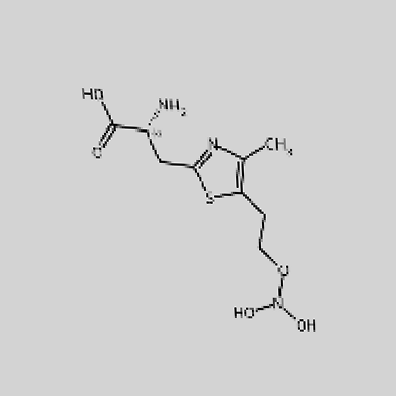 Cc1nc(C[C@@H](N)C(=O)O)sc1CCON(O)O